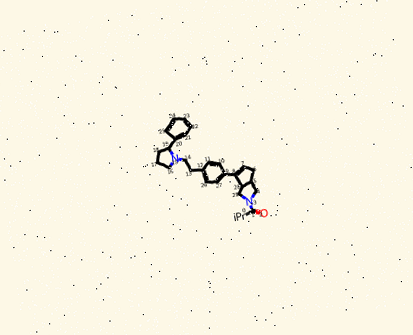 CC(C)C(=O)N1CC2CC=C(c3ccc(CCN4CCCC4c4ccccc4)cc3)C2C1